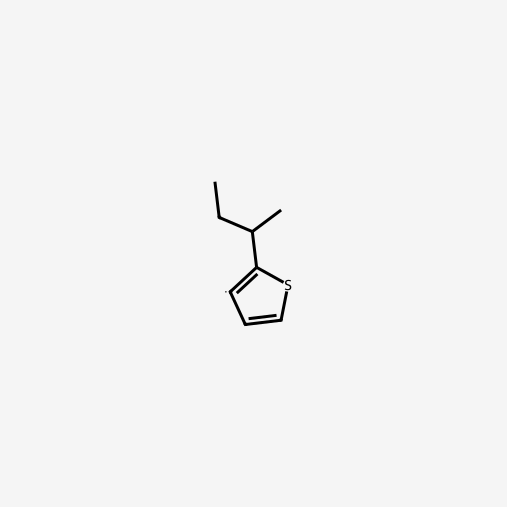 CCC(C)c1[c]ccs1